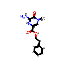 CCn1cc(C(=O)OCCc2ccccc2)nc(N)c1=O